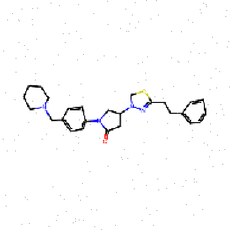 O=C1CC(N2CSC(CCc3ccccc3)=N2)CN1c1ccc(CN2CCCCC2)cc1